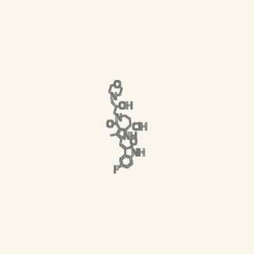 Cc1c(C=C2C(=O)Nc3ccc(F)cc32)[nH]c2c1C(=O)N(C[C@H](O)CN1CCOCC1)CCC2.Cl